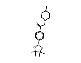 CN1CCN(CC(=O)c2ccc(B3OC(C)(C)C(C)(C)O3)cc2)CC1